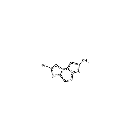 Cc1cc2c(ccc3sc(C(C)C)cc32)s1